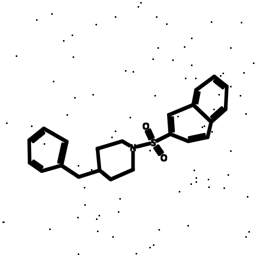 O=S(=O)(c1ccc2ccccc2c1)N1CCC(Cc2ccccc2)CC1